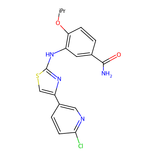 CC(C)Oc1ccc(C(N)=O)cc1Nc1nc(-c2ccc(Cl)nc2)cs1